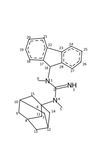 CN(C(=N)N(C)C12CC3CC(CC(C3)C1)C2)C1c2ccccc2-c2ccccc21